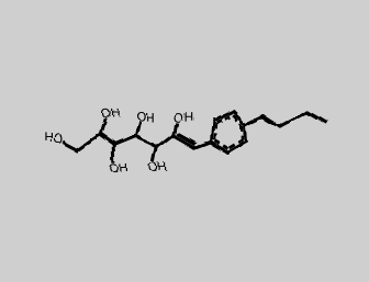 CCCCc1ccc(C=C(O)C(O)C(O)C(O)C(O)CO)cc1